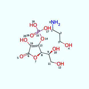 NCCCO.O=C1O[C@H]([C@@H](O)CO)C(OP(=O)(O)O)=C1O